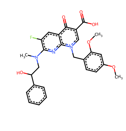 COc1ccc(Cn2cc(C(=O)O)c(=O)c3cc(F)c(N(C)CC(O)c4ccccc4)nc32)c(OC)c1